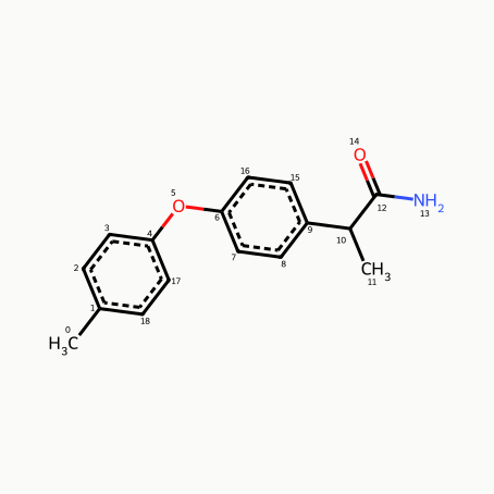 Cc1ccc(Oc2ccc(C(C)C(N)=O)cc2)cc1